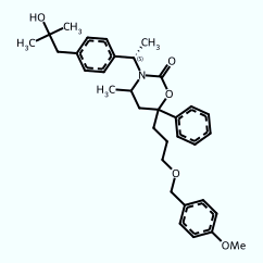 COc1ccc(COCCCC2(c3ccccc3)CC(C)N([C@@H](C)c3ccc(CC(C)(C)O)cc3)C(=O)O2)cc1